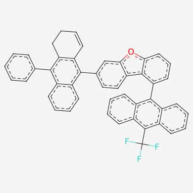 FC(F)(F)c1c2ccccc2c(-c2cccc3oc4cc(-c5c6c(c(-c7ccccc7)c7ccccc57)CCC=C6)ccc4c23)c2ccccc12